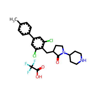 Cc1ccc(-c2cc(Cl)c(CC3CCN(C4CCNCC4)C3=O)c(Cl)c2)cc1.O=C(O)C(F)(F)F